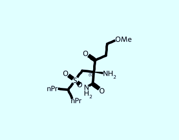 CCCC(CCC)S(=O)(=O)C[C@@](N)(C(N)=O)C(=O)CCOC